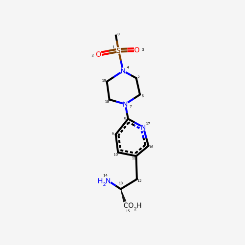 CS(=O)(=O)N1CCN(c2ccc(C[C@H](N)C(=O)O)cn2)CC1